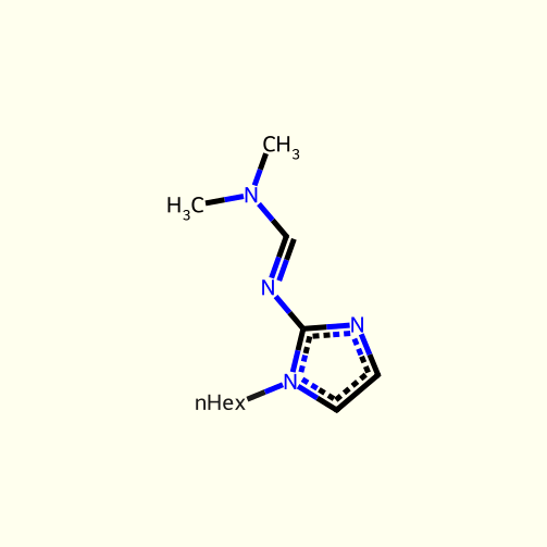 CCCCCCn1ccnc1/N=C/N(C)C